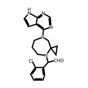 O=CC(c1ccccc1Cl)N1CCCN(c2ncnc3[nH]ccc23)CC12CC2